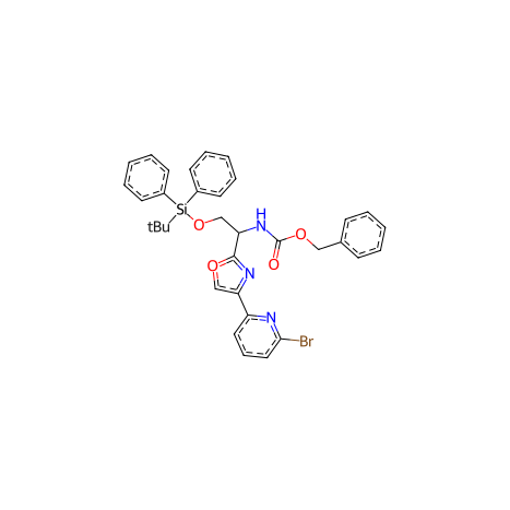 CC(C)(C)[Si](OCC(NC(=O)OCc1ccccc1)c1nc(-c2cccc(Br)n2)co1)(c1ccccc1)c1ccccc1